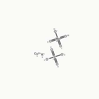 O=S(=O)([O-])[O-].[Cu+2].[K+].[O]=[Mn](=[O])(=[O])[O-]